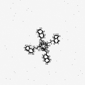 C[Si]1(CCCc2cccc3ccccc23)O[Si](C)(CCc2ccc3ccccc3c2)O[Si](C)(CCCc2cccc3ccccc23)O[Si](C)(CCc2ccc3ccccc3c2)O1